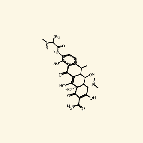 CC1c2ccc(NC(=O)C(N(C)C)C(C)(C)C)c(O)c2C(=O)C2=C(O)[C@]3(O)C(=O)C(C(N)=O)=C(O)[C@@H](N(C)C)C3C(O)C21